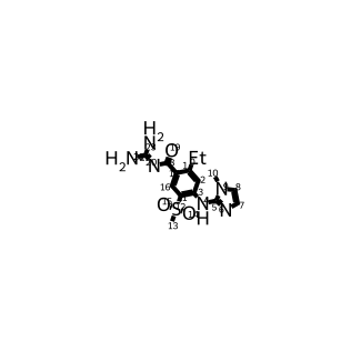 CCc1cc(Nc2nccn2C)c(S(C)(=O)=O)cc1C(=O)N=C(N)N